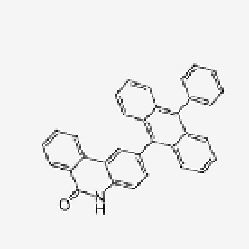 O=c1[nH]c2ccc(-c3c4ccccc4c(-c4ccccc4)c4ccccc34)cc2c2ccccc12